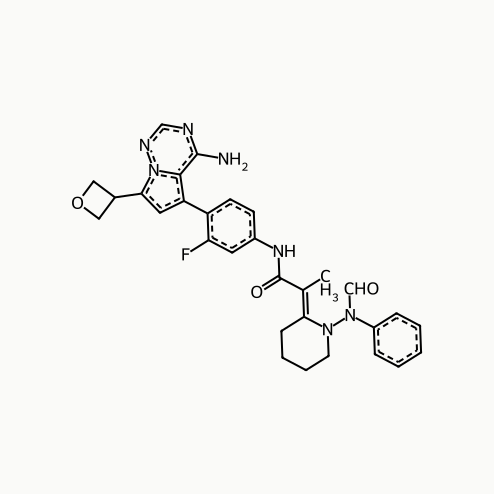 C/C(C(=O)Nc1ccc(-c2cc(C3COC3)n3ncnc(N)c23)c(F)c1)=C1/CCCCN1N(C=O)c1ccccc1